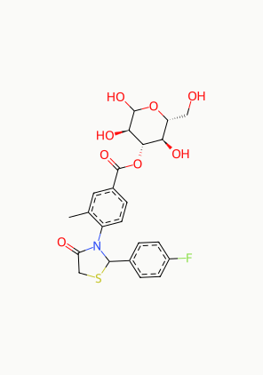 Cc1cc(C(=O)O[C@H]2[C@H](O)[C@@H](CO)OC(O)[C@@H]2O)ccc1N1C(=O)CSC1c1ccc(F)cc1